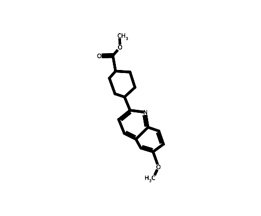 COC(=O)C1CCC(c2ccc3cc(OC)ccc3n2)CC1